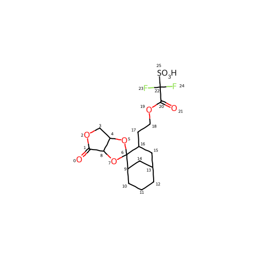 O=C1OCC2OC3(OC12)C1CCCC(C1)CC3CCOC(=O)C(F)(F)S(=O)(=O)O